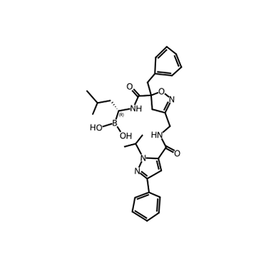 CC(C)C[C@H](NC(=O)C1(Cc2ccccc2)CC(CNC(=O)c2cc(-c3ccccc3)nn2C(C)C)=NO1)B(O)O